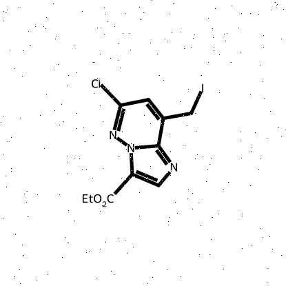 CCOC(=O)c1cnc2c(CI)cc(Cl)nn12